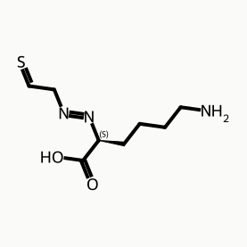 NCCCC[C@H](N=NCC=S)C(=O)O